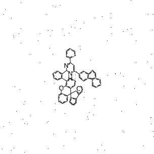 C1=C(c2ccc3c(ccc4ccccc43)c2)NC(c2ccccc2-c2cccc3c2Oc2ccccc2C32c3ccccc3-c3ccccc32)N=C1c1ccccc1